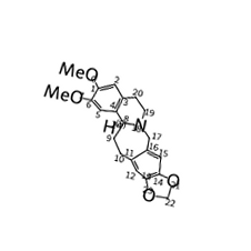 COc1cc2c(cc1OC)[C@@H]1CCc3cc4c(cc3CN1CC2)OCO4